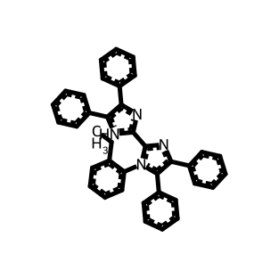 CCc1ccccc1-n1c(-c2nc(-c3ccccc3)c(-c3ccccc3)[nH]2)nc(-c2ccccc2)c1-c1ccccc1